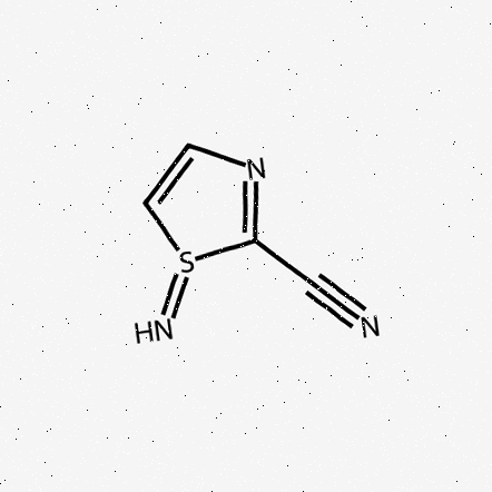 N#CC1=NC=CS1=N